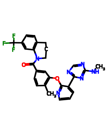 CNc1ncnc(-c2cccnc2Oc2cc(C(=O)N3CCCc4ccc(C(F)(F)F)cc43)ccc2C)n1